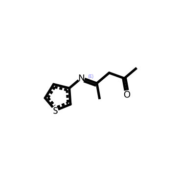 CC(=O)C/C(C)=N/c1ccsc1